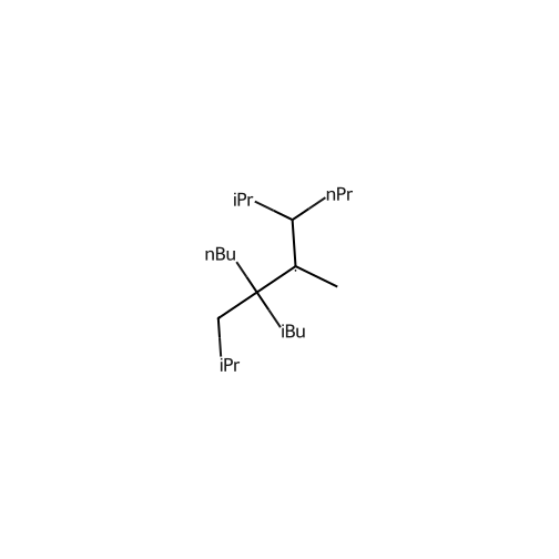 CCCCC(CC(C)C)([C](C)C(CCC)C(C)C)C(C)CC